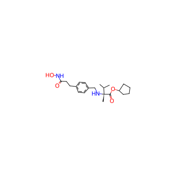 CC(C)[C@@](C)(NCc1ccc(CCC(=O)NO)cc1)C(=O)OC1CCCC1